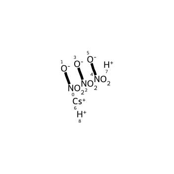 O=[N+]([O-])[O-].O=[N+]([O-])[O-].O=[N+]([O-])[O-].[Cs+].[H+].[H+]